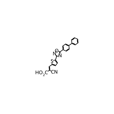 N#C/C(=C\c1ccc(-c2noc(-c3ccc(-c4ccccc4)cc3)n2)s1)C(=O)O